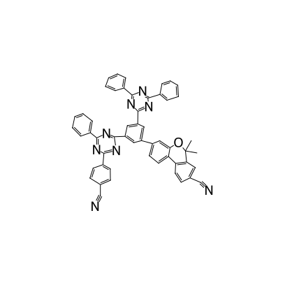 CC1(C)Oc2cc(-c3cc(-c4nc(-c5ccccc5)nc(-c5ccccc5)n4)cc(-c4nc(-c5ccccc5)nc(-c5ccc(C#N)cc5)n4)c3)ccc2-c2ccc(C#N)cc21